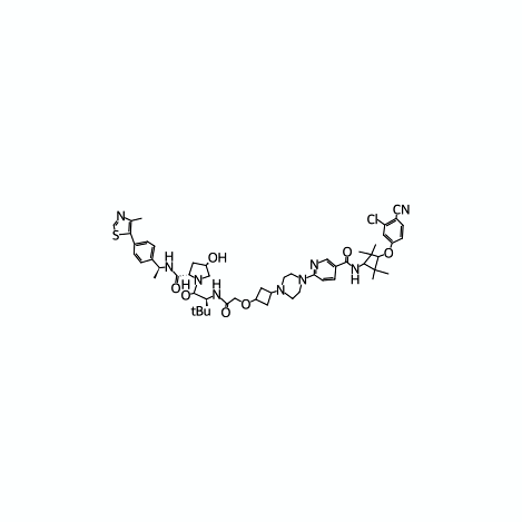 Cc1ncsc1-c1ccc([C@H](C)NC(=O)[C@@H]2C[C@@H](O)CN2C(O)[C@@H](NC(=O)COC2CC(N3CCN(c4ccc(C(=O)NC5C(C)(C)C(Oc6ccc(C#N)c(Cl)c6)C5(C)C)cn4)CC3)C2)C(C)(C)C)cc1